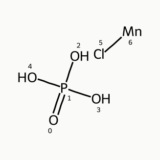 O=P(O)(O)O.[Cl][Mn]